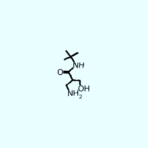 CC(C)(C)NC(=O)C(CN)CO